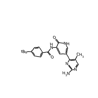 Cc1cnc(N)nc1-c1c[nH]c(=O)c(NC(=O)c2ccc(C(C)(C)C)cc2)c1